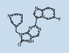 O=c1[nH]c2cnc(-c3cnc4ccc(F)cn34)nc2n1Cc1cccnc1